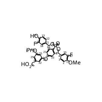 COc1ccc(COP(=O)(OCc2ccc(O)c(F)c2)c2ccc(Oc3cc(OC(C)C)cc(C(=O)O)c3)cc2)cc1F